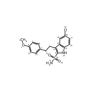 COc1ccc(CCc2c(S(N)(=O)=O)[nH]c3ccc(Cl)cc23)cc1